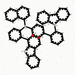 c1ccc(N(c2ccc(-c3ccccc3-n3c4ccccc4c4ccccc43)cc2)c2cccc3ccccc23)c(-c2cccc3c2sc2ccccc23)c1